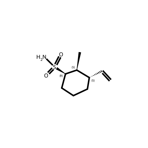 C=C[C@@H]1CCC[C@@H](S(N)(=O)=O)[C@H]1C